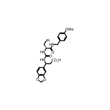 COc1ccc(CNC(=O)[C@H](CC(C)C)NC(=O)NC(CC(=O)O)c2ccc3c(c2)OCO3)cc1